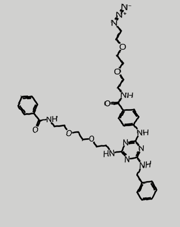 [N-]=[N+]=NCCOCCOCCNC(=O)c1ccc(Nc2nc(NCCOCCOCCNC(=O)c3ccccc3)nc(NCc3ccccc3)n2)cc1